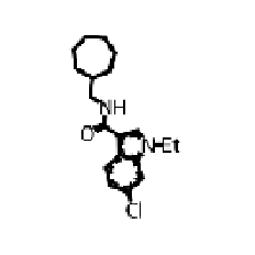 CCn1cc(C(=O)NCC2CCCCCC2)c2ccc(Cl)cc21